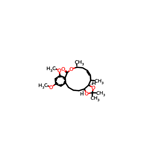 COc1cc2c(c(OC)c1)C(=O)O[C@@H](C)C/C=C\C(C)[C@H]1OC(C)(C)O[C@H]1CCC2